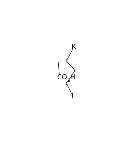 CC(=O)O.[K][CH2]CCI